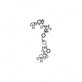 O=C1CCC(N2C(=O)c3cccc(NCC4CCN(Cc5ccc(-n6cc(NC(=O)c7cnn8ccc(N9C[C@H]%10CC9CO%10)nc78)c(C(F)F)n6)cc5)CC4)c3C2=O)C(=O)N1